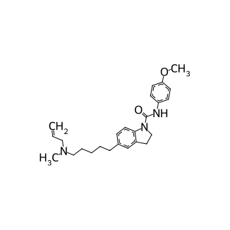 C=CCN(C)CCCCCc1ccc2c(c1)CCN2C(=O)Nc1ccc(OC)cc1